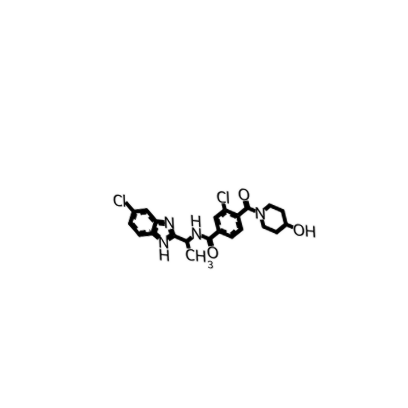 CC(NC(=O)c1ccc(C(=O)N2CCC(O)CC2)c(Cl)c1)c1nc2cc(Cl)ccc2[nH]1